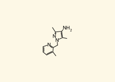 Cc1cccnc1Cn1nc(C)c(N)c1C